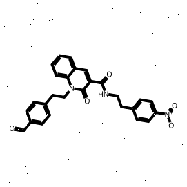 O=Cc1ccc(CCn2c(=O)c(C(=O)NCCc3ccc([N+](=O)[O-])cc3)cc3ccccc32)cc1